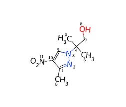 Cc1nn(C(C)(C)CO)cc1[N+](=O)[O-]